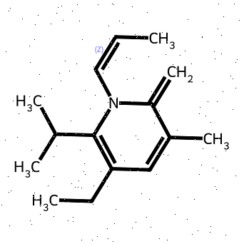 C=C1C(C)=CC(CC)=C(C(C)C)N1/C=C\C